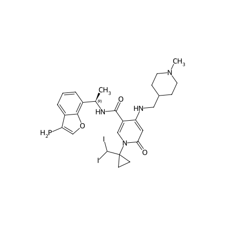 C[C@@H](NC(=O)c1cn(C2(C(I)I)CC2)c(=O)cc1NCC1CCN(C)CC1)c1cccc2c(P)coc12